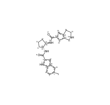 Cc1ccc2[nH]c(C(=O)N[C@@H]3CCC[C@H]3NC(=O)c3nc4c(s3)CNCC4)cc2c1